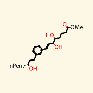 CCCCC[C@@H](O)/C=C/c1cccc(/C=C/[C@@H](O)[C@@H](O)CCCC(=O)OC)c1